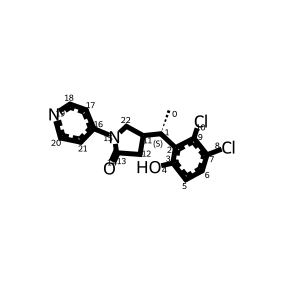 C[C@H](c1c(O)ccc(Cl)c1Cl)C1CC(=O)N(c2ccncc2)C1